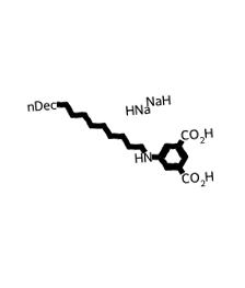 CCCCCCCCCCCCCCCCCCCNc1cc(C(=O)O)cc(C(=O)O)c1.[NaH].[NaH]